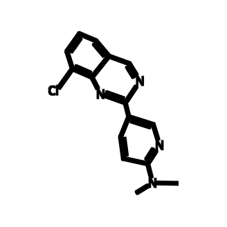 CN(C)c1ccc(-c2ncc3cccc(Cl)c3n2)cn1